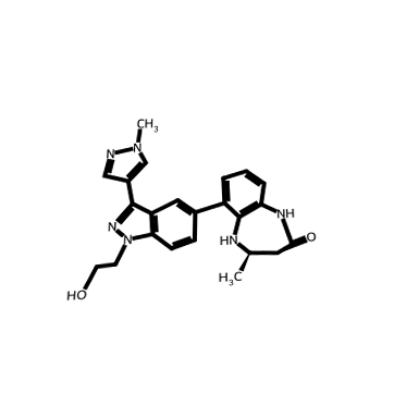 C[C@@H]1CC(=O)Nc2cccc(-c3ccc4c(c3)c(-c3cnn(C)c3)nn4CCO)c2N1